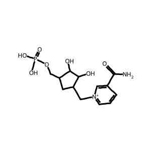 NC(=O)c1ccc[n+](CC2CC(COP(=O)(O)O)C(O)C2O)c1